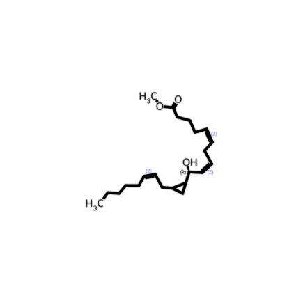 CCCCC/C=C\CC1CC1[C@@H](O)/C=C\C/C=C\CCCC(=O)OC